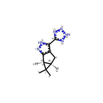 CC1(C)[C@@H]2Cc3c(n[nH]c3-c3nn[nH]n3)[C@@H]21